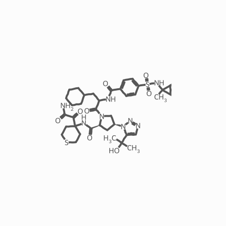 CC1(NS(=O)(=O)c2ccc(C(=O)NC(CC3CCCCC3)C(=O)N3C[C@@H](n4nncc4C(C)(C)O)C[C@H]3C(=O)NC3(C(=O)C(N)=O)CCSCC3)cc2)CC1